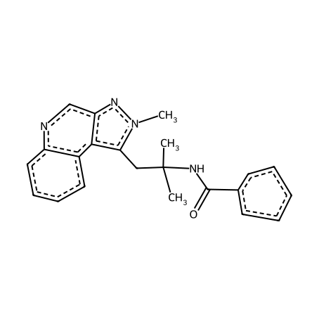 Cn1nc2cnc3ccccc3c2c1CC(C)(C)NC(=O)c1ccccc1